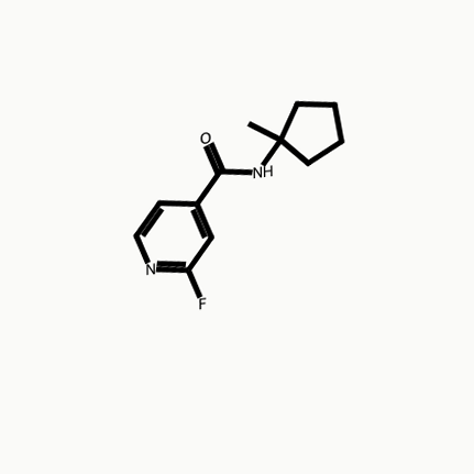 CC1(NC(=O)c2ccnc(F)c2)CCCC1